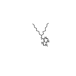 CCCCCCCC(CCCCCCC)Sc1ncnc2c1ncn2C